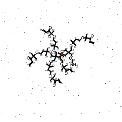 C=CC(=O)C(C)(C)OCCC(C)(C)OCC(COCN)(COCC(COC(C)(C)CCOC(C)(C)C(=O)C=C)(COC(C)(C)CCOC(C)(C)C(=O)C=C)COC(C)(C)CCOC(C)(C)C(=O)C=C)COC(C)(C)CCOC(C)(C)C(=O)C=C